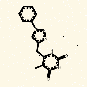 Cc1c(Cc2cn(-c3ccccc3)nn2)[nH]c(=O)[nH]c1=O